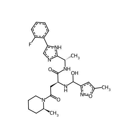 Cc1cc(C(O)N[C@@H](CC(=O)N2CCCC[C@@H]2C)C(=O)N[C@@H](C)c2ncc(-c3ccccc3F)[nH]2)no1